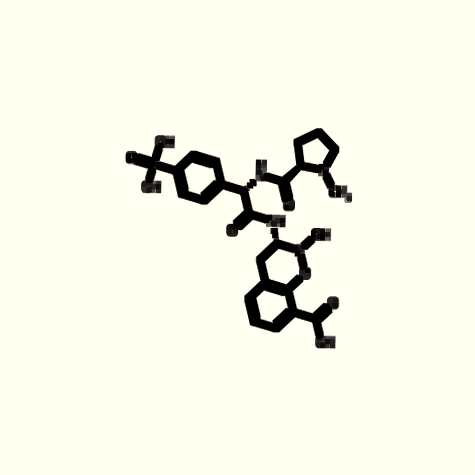 CN1CCC[C@@H]1C(=O)N[C@H](C(=O)N[C@H]1Cc2cccc(C(=O)O)c2OB1O)c1ccc(P(=O)(O)O)cc1